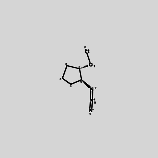 CCO[C@H]1CCC[C@@H]1N=[N+]=[N-]